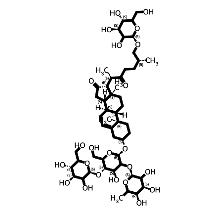 CC1O[C@@H](OC2[C@H](O[C@H]3CC[C@@]4(C)C(=CC[C@H]5[C@@H]6CC(=O)[C@H]([C@H](C)C(=O)CC[C@@H](C)CO[C@@H]7OC(CO)[C@@H](O)[C@H](O)C7O)[C@@]6(C)CC[C@@H]54)C3)OC(CO)[C@@H](O[C@@H]3OC(CO)[C@@H](O)[C@H](O)C3O)[C@@H]2O)C(O)[C@@H](O)[C@H]1O